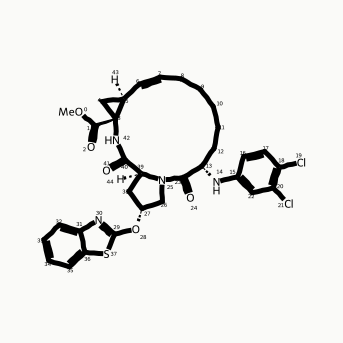 COC(=O)[C@@]12C[C@H]1/C=C\CCCCC[C@H](Nc1ccc(Cl)c(Cl)c1)C(=O)N1C[C@H](Oc3nc4ccccc4s3)C[C@H]1C(=O)N2